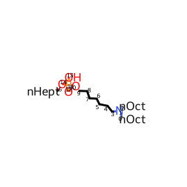 CCCCCCCCN(CCCCCCCC)CCCCCCCOP(=O)(O)OCCCCCCC